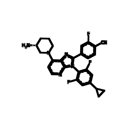 N#Cc1ccc(-c2nc3c(N4CCC[C@@H](N)C4)ccnc3n2-c2c(F)cc(C3CC3)cc2F)cc1F